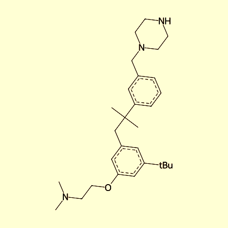 CN(C)CCOc1cc(CC(C)(C)c2cccc(CN3CCNCC3)c2)cc(C(C)(C)C)c1